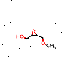 COC[C@@H]1O[C@@H]1CO